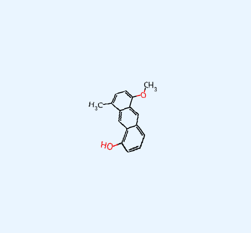 COc1ccc(C)c2cc3c(O)cccc3cc12